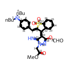 CCCCN(CCCC)c1ccc(/C=C2/C(=C3\C(=N)N(CC(=O)OC)N=C3OC=O)c3ccccc3S2(=O)=O)cc1